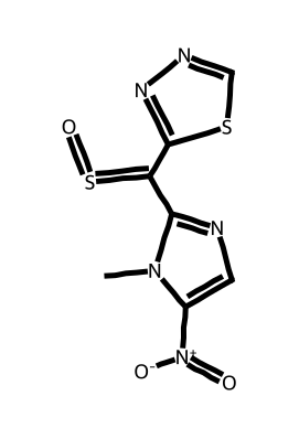 Cn1c([N+](=O)[O-])cnc1C(=S=O)c1nncs1